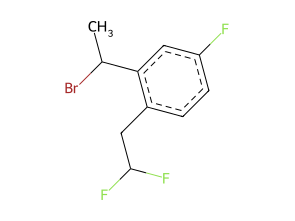 CC(Br)c1cc(F)ccc1CC(F)F